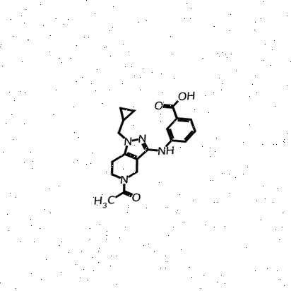 CC(=O)N1CCc2c(c(Nc3cccc(C(=O)O)c3)nn2CC2CC2)C1